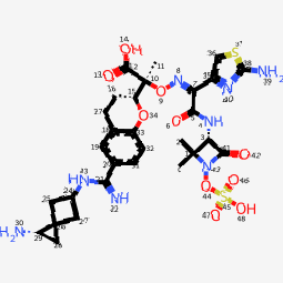 CC1(C)[C@H](NC(=O)/C(=N\O[C@](C)(C(=O)O)[C@H]2CCc3cc(C(=N)NC4CC5(C4)C[C@@H]5N)ccc3O2)c2csc(N)n2)C(=O)N1OS(=O)(=O)O